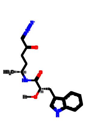 CCO[C@@H](Cc1c[nH]c2ccccc12)C(=O)N[C@@H](CCC(=O)C=[N+]=[N-])C(=O)O